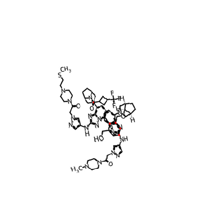 CSCCN1CCN(C(=O)Cn2cc(Nc3nc4c(N5CC6CCC(C5)N6C(=O)C5CC(C(F)(F)F)C5)ccc(-c5c(CO)cccc5CO[C@H]5[C@@H]6CC[C@H]5CN(c5cccn7nc(Nc8cnn(CC(=O)N9CCN(C)CC9)c8)nc57)C6)n4n3)cn2)CC1